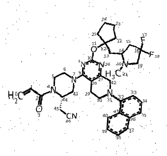 C=CC(=O)N1CCN(c2nc(OC3(CC4CC(F)(F)CN4C)CCCC3)nc3c2CCN(c2cccc4ccccc24)C3)C[C@@H]1CC#N